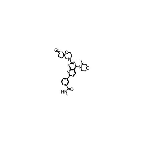 CNC(=O)c1cccc(-c2ccc3c(N4CCOC[C@@H]4C)nc(N4CCO[C@]5(CC[S+]([O-])C5)C4)nc3n2)c1